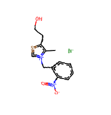 Cc1c(CCO)sc[n+]1Cc1ccccc1[N+](=O)[O-].[Br-]